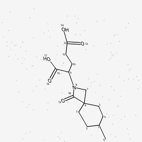 CC1CCC2(CC1)CN(C(CCC(=O)O)C(=O)O)C2=O